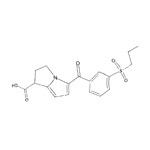 CCCS(=O)(=O)c1cccc(C(=O)c2ccc3n2CCC3C(=O)O)c1